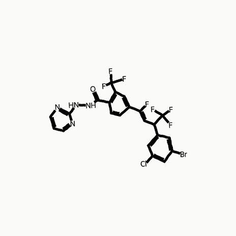 O=C(NNc1ncccn1)c1ccc(C(F)=CC(c2cc(Cl)cc(Br)c2)C(F)(F)F)cc1C(F)(F)F